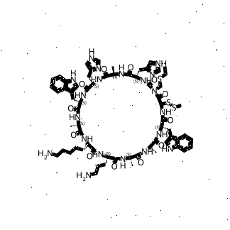 CCSCN1C(=O)N[C@@H](Cc2c[nH]cn2)C(=O)N[C@H](C)C(=O)N[C@@H](Cc2c[nH]cn2)C(=O)N[C@@H](Cc2c[nH]c3ccccc23)C(=O)N[C@@H](C)C(=O)N[C@@H](CCCCCN)C(=O)N[C@@H](CCCN)C(=O)N[C@@H](C)C(=O)N[C@@H](C)C(=O)N[C@@H](Cc2c[nH]c3ccccc23)C(=O)NC(SSC)C1=O